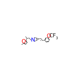 Cc1ccc(C(C)CCN2CC3C(C[CH]c4cccc(OC(F)(F)F)c4)C3C2)o1